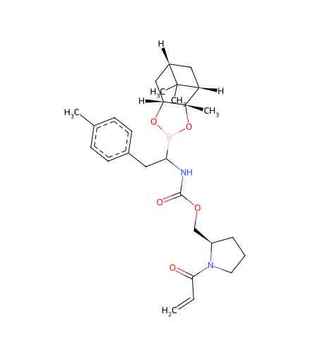 C=CC(=O)N1CCC[C@@H]1COC(=O)NC(Cc1ccc(C)cc1)B1O[C@@H]2C[C@@H]3C[C@@H](C3(C)C)[C@]2(C)O1